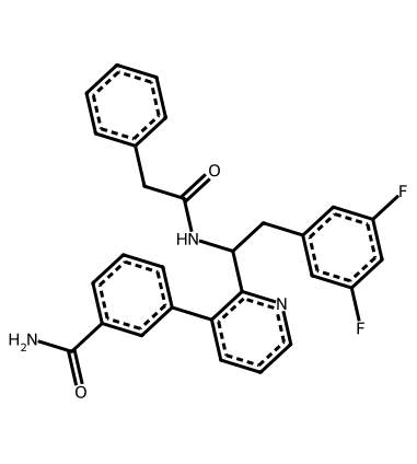 NC(=O)c1cccc(-c2cccnc2C(Cc2cc(F)cc(F)c2)NC(=O)Cc2ccccc2)c1